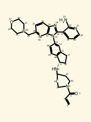 C=CC(=O)N1CCC(N[C@H]2CCc3cc(-n4c(-c5cccnc5N)nc5ccc(CN6CCOCC6)nc54)ccc32)CC1